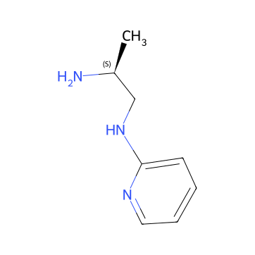 C[C@H](N)CNc1ccccn1